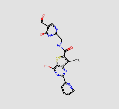 Cc1c(C(=O)NCc2ncc(C=O)c(=O)[nH]2)sc2c(O)nc(-c3ccccn3)nc12